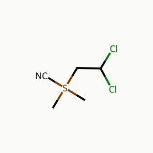 CS(C)(C#N)CC(Cl)Cl